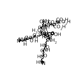 CC(NC(=O)C(CCC(N)=O)NC(=O)CN(CCN(CCN(CC(=O)O)CC(=O)O)CC(=O)O)CC(=O)O)C(=O)NC(CCCCNC(=O)CNC(=O)CCC(=O)NCCc1cnc[nH]1)C(=O)NC(Cc1ccc(O)cc1)C(=O)NC(CCCCNC(=O)CNC(=O)CCC(=O)NCCc1cnc[nH]1)C(N)=O